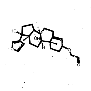 C[C@]12CCC(OCC=O)C=C1CC[C@@H]1[C@H]2CC[C@]2(C)C(O)(c3ccoc3)CC[C@@]12O